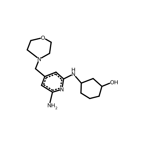 Nc1cc(CN2CCOCC2)cc(NC2CCCC(O)C2)n1